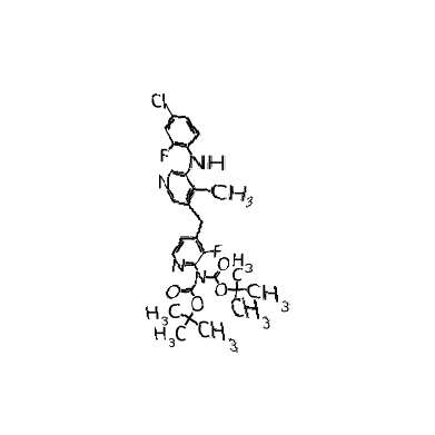 Cc1c(Cc2ccnc(N(C(=O)OC(C)(C)C)C(=O)OC(C)(C)C)c2F)cncc1Nc1ccc(Cl)cc1F